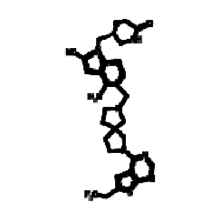 N#Cc1cc2c(N)c(CN3CCC4(CCN(c5ncnc6sc(CC(F)(F)F)cc56)C4)C3)ccc2n1C[C@@H]1CNC(=O)CO1